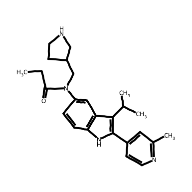 CCC(=O)N(CC1CCNC1)c1ccc2[nH]c(-c3ccnc(C)c3)c(C(C)C)c2c1